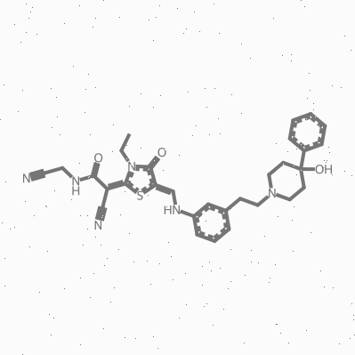 CCn1c(=C(C#N)C(=O)NCC#N)sc(=CNc2cccc(CCN3CCC(O)(c4ccccc4)CC3)c2)c1=O